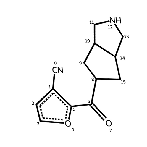 N#Cc1ccoc1C(=O)C1CC2CNCC2C1